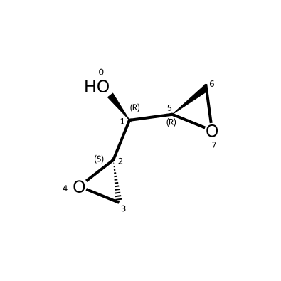 O[C@H]([C@@H]1CO1)[C@H]1CO1